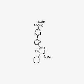 CNC(=O)[C@@H](NC(=O)c1ccc(-c2ccc(S(=O)(=O)NC)cc2)o1)C1CCCCC1